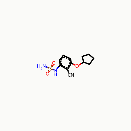 N#Cc1c(NS(N)(=O)=O)cccc1OC1CCCC1